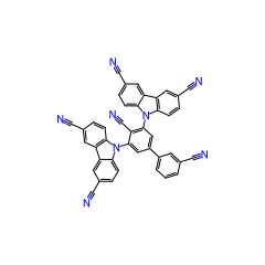 N#Cc1cccc(-c2cc(-n3c4ccc(C#N)cc4c4cc(C#N)ccc43)c(C#N)c(-n3c4ccc(C#N)cc4c4cc(C#N)ccc43)c2)c1